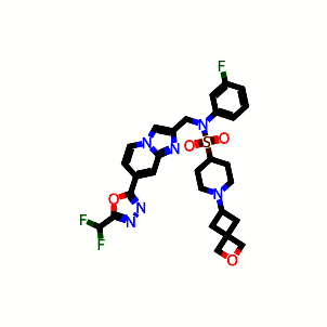 O=S(=O)(C1CCN(C2CC3(COC3)C2)CC1)N(Cc1cn2ccc(-c3nnc(C(F)F)o3)cc2n1)c1cccc(F)c1